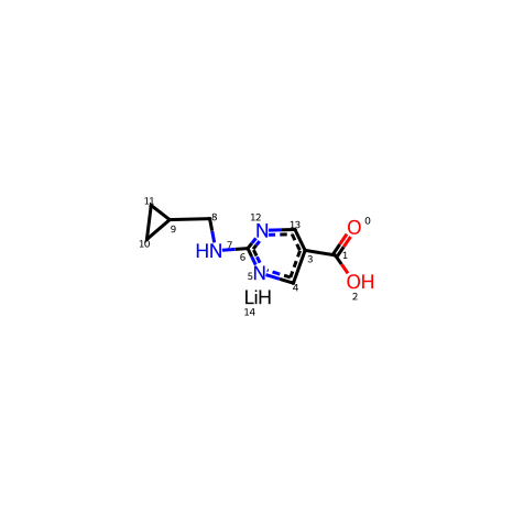 O=C(O)c1cnc(NCC2CC2)nc1.[LiH]